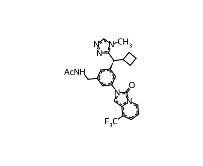 CC(=O)NCc1cc([C@@H](c2nncn2C)C2CCC2)cc(-n2cc3c(C(F)(F)F)cccn3c2=O)c1